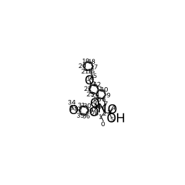 CCC(C(=O)O)N(Cc1ccc2cc(OCc3ccccc3)ccc2c1)C(=O)Oc1ccc(OC)cc1